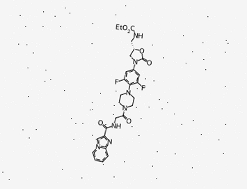 CCOC(=O)NC[C@H]1CN(c2cc(F)c(N3CCN(C(=O)CNC(=O)c4cn5ccccc5n4)CC3)c(F)c2)C(=O)O1